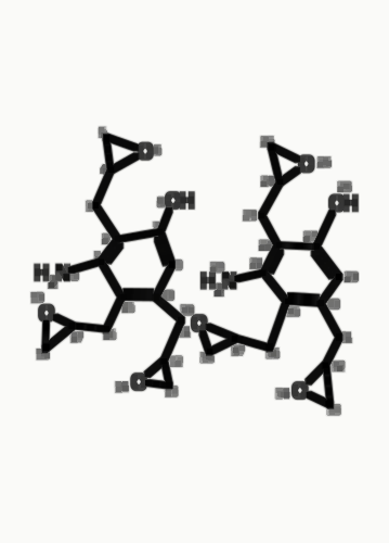 Nc1c(CC2CO2)c(O)cc(CC2CO2)c1CC1CO1.Nc1c(CC2CO2)c(O)cc(CC2CO2)c1CC1CO1